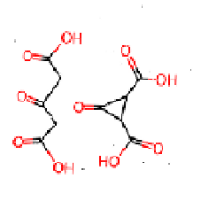 O=C(O)C1C(=O)C1C(=O)O.O=C(O)CC(=O)CC(=O)O